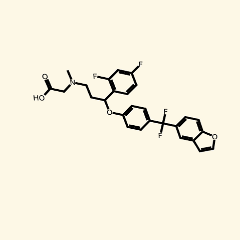 CN(CCC(Oc1ccc(C(F)(F)c2ccc3occc3c2)cc1)c1ccc(F)cc1F)CC(=O)O